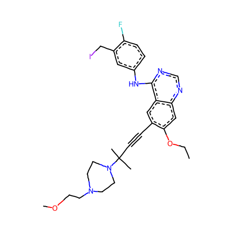 CCOc1cc2ncnc(Nc3ccc(F)c(CI)c3)c2cc1C#CC(C)(C)N1CCN(CCOC)CC1